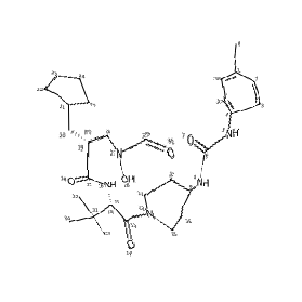 Cc1ccc(NC(=O)NC2CCN(C(=O)[C@@H](NC(=O)[C@H](CC3CCCC3)CN(O)C=O)C(C)(C)C)CC2)cc1